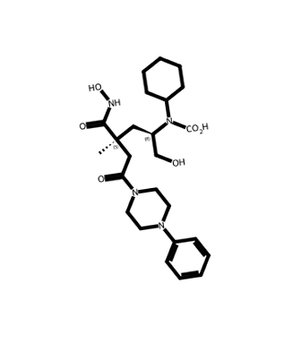 C[C@@](CC(=O)N1CCN(c2ccccc2)CC1)(C[C@H](CO)N(C(=O)O)C1CCCCC1)C(=O)NO